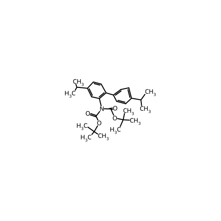 CC(C)c1ccc(-c2ccc(C(C)C)cc2N(C(=O)OC(C)(C)C)C(=O)OC(C)(C)C)cc1